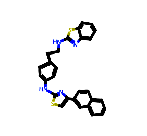 c1ccc2cc(-c3csc(Nc4ccc(CCNc5nc6ccccc6s5)cc4)n3)ccc2c1